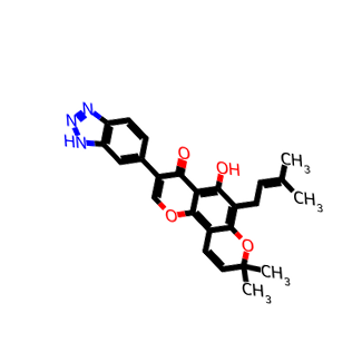 CC(C)=CCc1c2c(c3occ(-c4ccc5nn[nH]c5c4)c(=O)c3c1O)C=CC(C)(C)O2